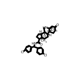 C[C@]12CCC(=O)C=C1NC[C@@H]1[C@H]2CC[C@]2(C)C(C(=O)NC(c3ccc(Cl)cc3)c3ccc(Cl)cc3)CC[C@@H]12